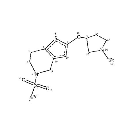 CCCS(=O)(=O)N1CCc2sc(OC3CCN(C(C)C)C3)cc2C1